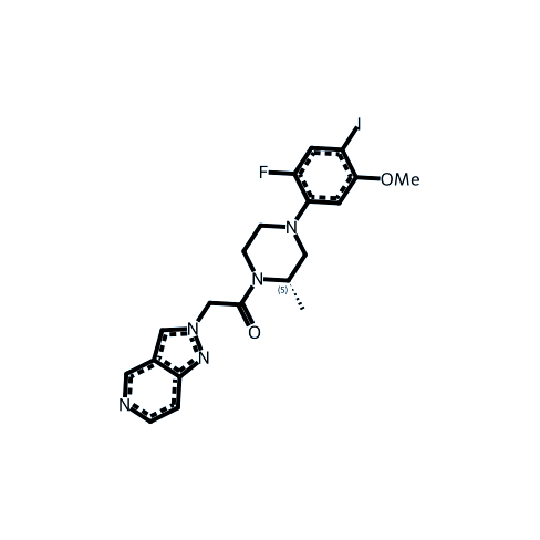 COc1cc(N2CCN(C(=O)Cn3cc4cnccc4n3)[C@@H](C)C2)c(F)cc1I